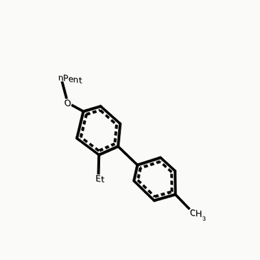 CCCCCOc1ccc(-c2ccc(C)cc2)c(CC)c1